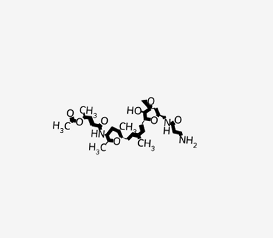 CC(=O)O[C@@H](C)C=CC(=O)N[C@@H]1C[C@H](C)[C@H](CC=C(C)C=C[C@H]2O[C@H](CNC(=O)CCN)C[C@@]3(CO3)[C@@H]2O)O[C@@H]1C